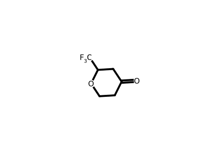 O=C1CCOC(C(F)(F)F)C1